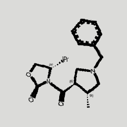 CC(C)[C@H]1COC(=O)N1C(=O)[C@H]1CN(Cc2ccccc2)C[C@@H]1C